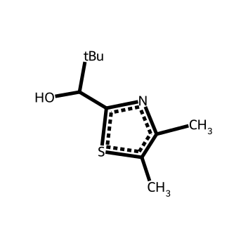 Cc1nc(C(O)C(C)(C)C)sc1C